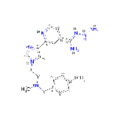 Cc1ccc(CN(C)CCn2cnc(-c3cc(/C(N)=N/NN)ccn3)c2)cc1